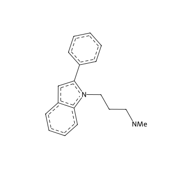 CNCCCn1c(-c2ccccc2)cc2ccccc21